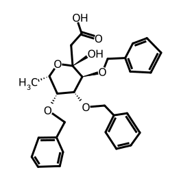 C[C@@H]1O[C@](O)(CC(=O)O)[C@@H](OCc2ccccc2)[C@H](OCc2ccccc2)[C@@H]1OCc1ccccc1